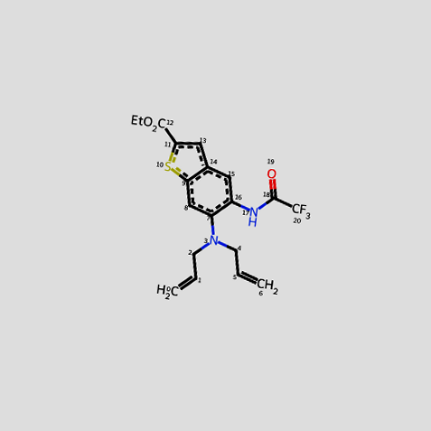 C=CCN(CC=C)c1cc2sc(C(=O)OCC)cc2cc1NC(=O)C(F)(F)F